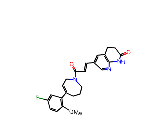 COc1ccc(F)cc1C1=CCN(C(=O)/C=C/c2cnc3c(c2)CCC(=O)N3)CCC1